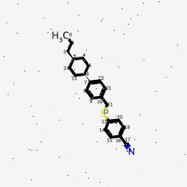 CCC[C@H]1CC[C@H](c2ccc(CSc3ccc(C#N)cc3)cc2)CC1